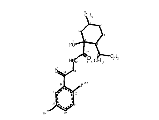 CC1CCC(C(C)C)C(O)(C(=O)NCC(=O)c2cc(F)ccc2F)C1